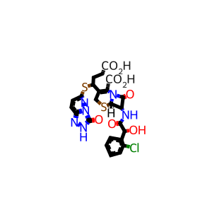 O=C(O)CCC(Sc1ccc2n[nH]c(=O)n2n1)C1=C(C(=O)O)N2C(=O)C(NC(=O)C(O)c3ccccc3Cl)[C@@H]2SC1